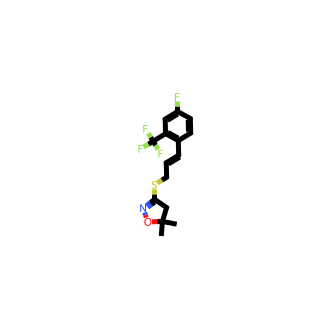 CC1(C)CC(SCC=Cc2ccc(F)cc2C(F)(F)F)=NO1